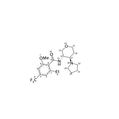 CCc1cc(C(F)(F)F)cc(OC)c1C(=O)N[C@@H]1COCC[C@H]1N1CCCC1